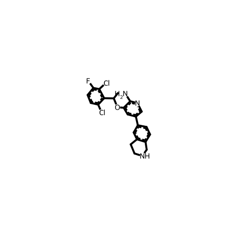 CC(Oc1cc(-c2ccc3c(c2)CCNC3)cnc1N)c1c(Cl)ccc(F)c1Cl